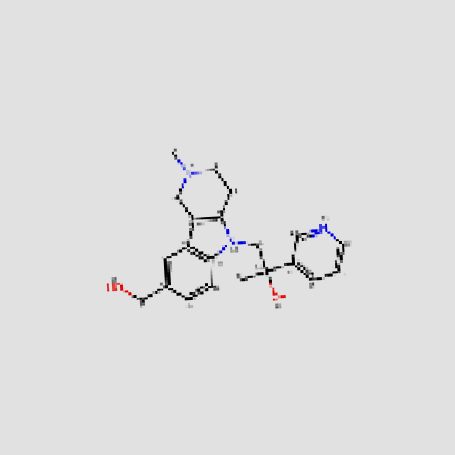 CN1CCc2c(c3cc(CO)ccc3n2CC(C)(O)c2cccnc2)C1